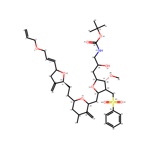 C=CCOC/C=C/C1CC(=C)[C@H](CCC2CC(C)C(=C)C(CC3OC(CC(O)CNC(=O)OC(C)(C)C)[C@H](OC)C3CS(=O)(=O)c3ccccc3)O2)O1